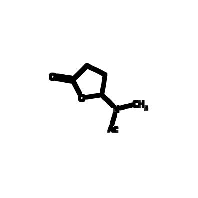 CC(=O)N(C)C1CCC(=O)O1